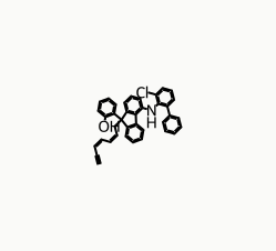 C#C/C=C\C=C/CC1(c2ccccc2O)c2ccccc2-c2c(Nc3c(Cl)cccc3-c3ccccc3)cccc21